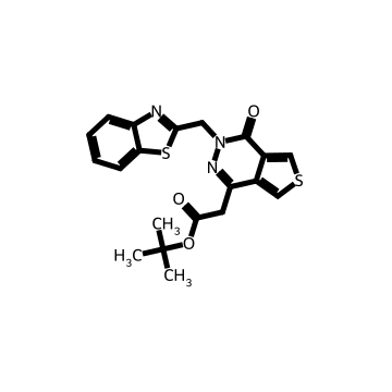 CC(C)(C)OC(=O)Cc1nn(Cc2nc3ccccc3s2)c(=O)c2cscc12